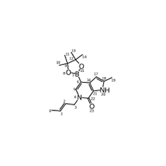 CC=CCn1cc(B2OC(C)(C)C(C)(C)O2)c2cc(C)[nH]c2c1=O